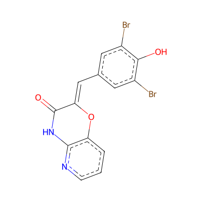 O=C1Nc2ncccc2OC1=Cc1cc(Br)c(O)c(Br)c1